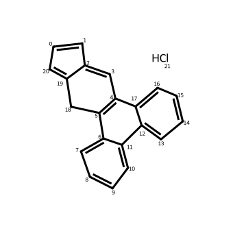 C1=CC2=Cc3c(c4ccccc4c4ccccc34)CC2=C1.Cl